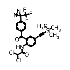 C[Si](C)(C)C#Cc1ccc(NC(=O)C(Cl)Cl)c(C(=O)c2ccc(C3(C(F)(F)F)N=N3)cc2)c1